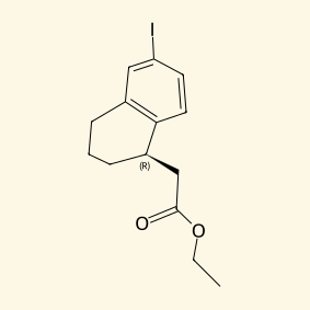 CCOC(=O)C[C@H]1CCCc2cc(I)ccc21